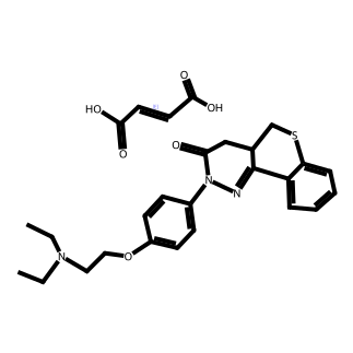 CCN(CC)CCOc1ccc(N2N=C3c4ccccc4SCC3CC2=O)cc1.O=C(O)/C=C/C(=O)O